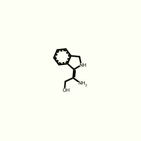 N/C(CO)=C1\NCc2ccccc21